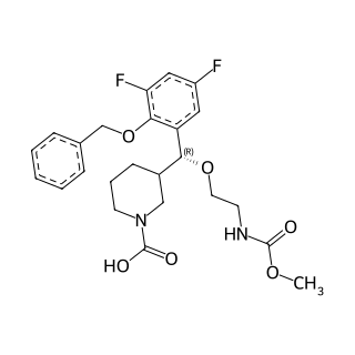 COC(=O)NCCO[C@@H](c1cc(F)cc(F)c1OCc1ccccc1)C1CCCN(C(=O)O)C1